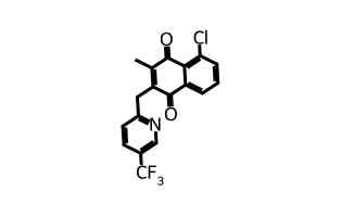 CC1=C(Cc2ccc(C(F)(F)F)cn2)C(=O)c2cccc(Cl)c2C1=O